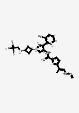 C=NN/C=C(\C)c1ccc(C(=O)Nc2cn([C@H]3C[C@@H](OCC(F)(F)F)C3)nc2-c2ncccc2F)o1